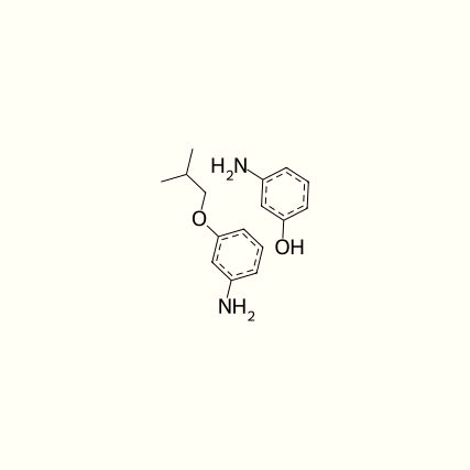 CC(C)COc1cccc(N)c1.Nc1cccc(O)c1